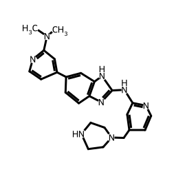 CN(C)c1cc(-c2ccc3nc(Nc4cc(CN5CCNCC5)ccn4)[nH]c3c2)ccn1